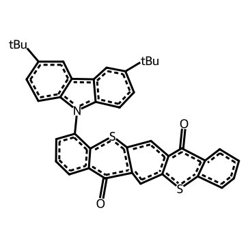 CC(C)(C)c1ccc2c(c1)c1cc(C(C)(C)C)ccc1n2-c1cccc2c(=O)c3cc4sc5ccccc5c(=O)c4cc3sc12